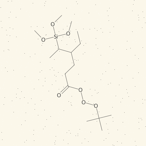 CCC(CCC(=O)OOOC(C)(C)C)C(C)[Si](OC)(OC)OC